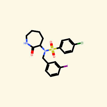 O=C1NCCCCC1N(Cc1cccc(I)c1)S(=O)(=O)c1ccc(Cl)cc1